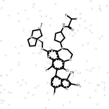 N#Cc1c(N)sc2c(F)ccc(-c3c(Cl)c4c5c(nc(OC[C@@]67CCCN6C[C@H](F)C7)nc5c3F)N(C3CCC(NC(=O)C(F)F)C3)CCO4)c12